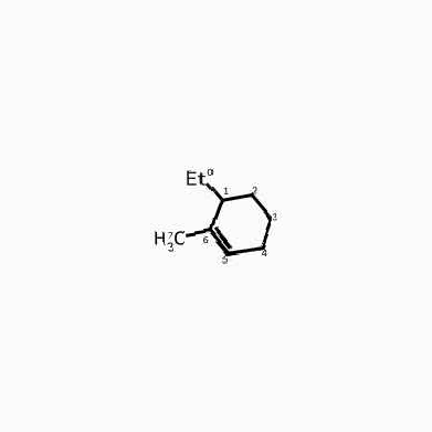 CCC1CCCC=C1C